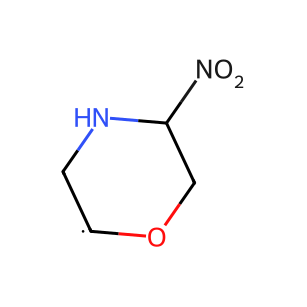 O=[N+]([O-])C1CO[CH]CN1